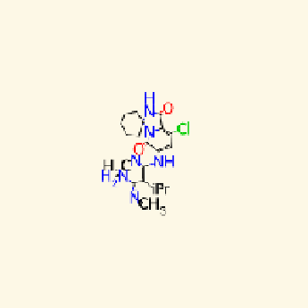 C=N/C(Nc1cc(Cl)c2n(c1=O)C1(CCCCC1)NC2=O)=C(\C(N)=N/C)C(C)C